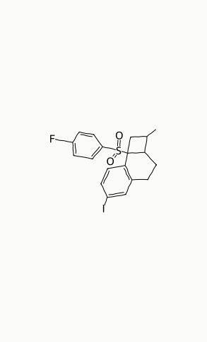 CC1CC2(S(=O)(=O)c3ccc(F)cc3)c3ccc(I)cc3CCC12